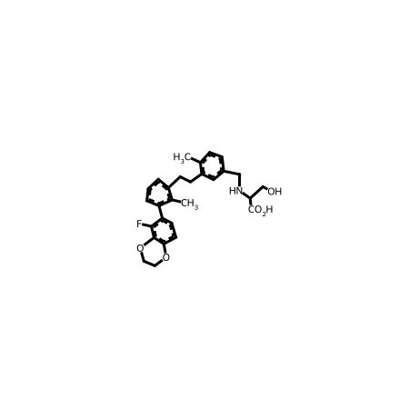 Cc1ccc(CNC(CO)C(=O)O)cc1CCc1cccc(-c2ccc3c(c2F)OCCO3)c1C